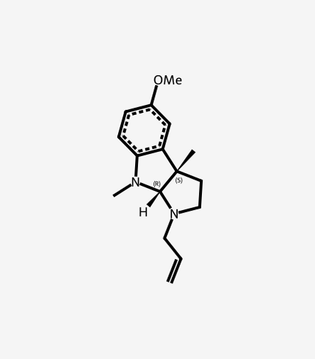 C=CCN1CC[C@@]2(C)c3cc(OC)ccc3N(C)[C@@H]12